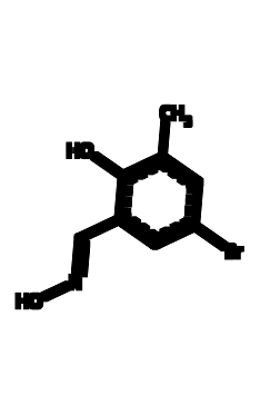 Cc1cc(Br)cc(/C=N/O)c1O